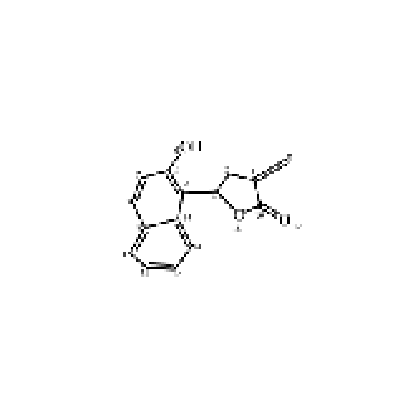 C=C1CC(c2c(O)ccc3ccccc23)OC1=O